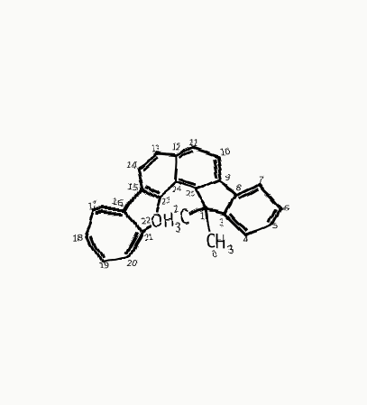 CC1(C)c2ccccc2-c2ccc3ccc4c5ccccc5oc4c3c21